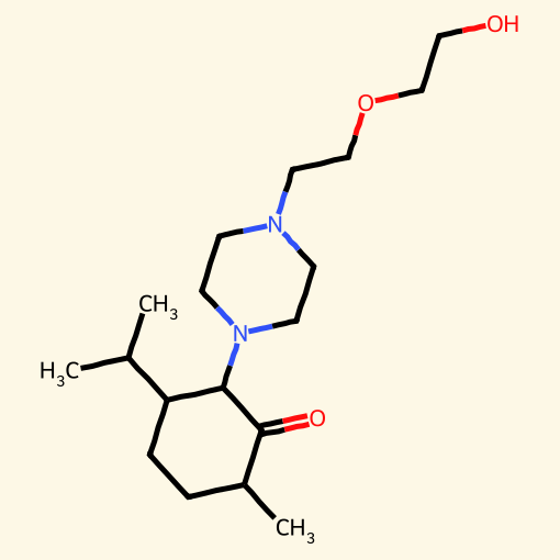 CC1CCC(C(C)C)C(N2CCN(CCOCCO)CC2)C1=O